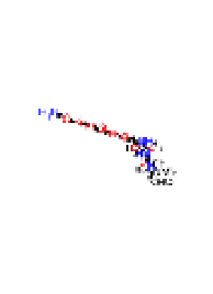 CCC(C)C(C(CC=O)OC)N(C)C(=O)CNC(=O)C(C)(C)NC(=O)CCOCCOCCOCCOCCOCCOCCN